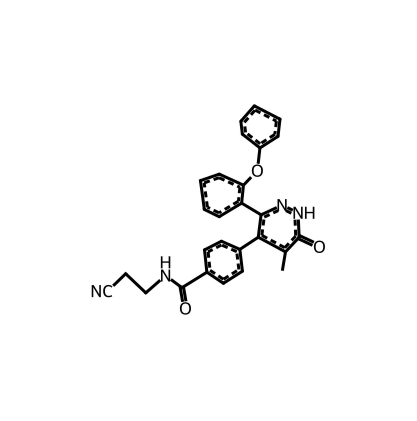 Cc1c(-c2ccc(C(=O)NCCC#N)cc2)c(-c2ccccc2Oc2ccccc2)n[nH]c1=O